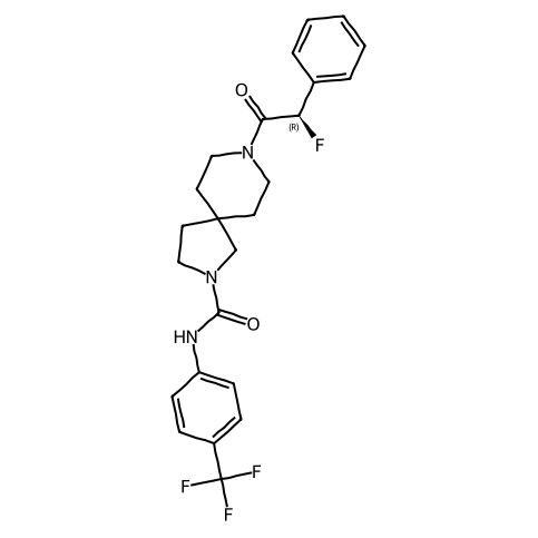 O=C(Nc1ccc(C(F)(F)F)cc1)N1CCC2(CCN(C(=O)[C@H](F)c3ccccc3)CC2)C1